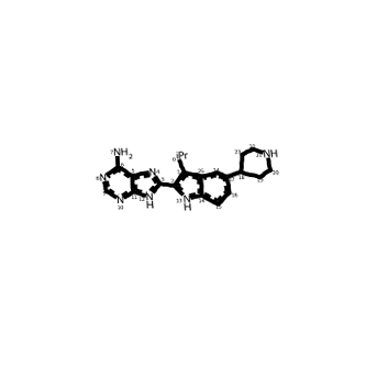 CC(C)c1c(-c2nc3c(N)ncnc3[nH]2)[nH]c2ccc(C3CCNCC3)cc12